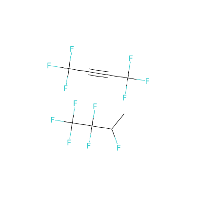 CC(F)C(F)(F)C(F)(F)F.FC(F)(F)C#CC(F)(F)F